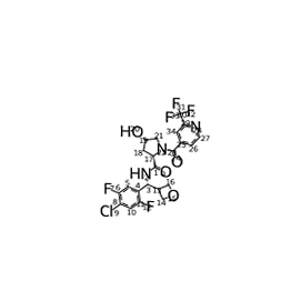 O=C(N[C@@H](c1cc(F)c(Cl)cc1F)C1COC1)[C@H]1C[C@@H](O)CN1C(=O)c1ccnc(C(F)(F)F)c1